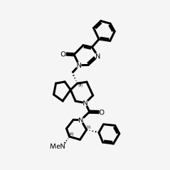 CN[C@@H]1CCN(C(=O)N2CC[C@@H](Cn3cnc(-c4ccccc4)cc3=O)C3(CCCC3)C2)[C@H](C2C=CC=CC2)C1